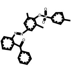 Cc1ccc(S(=O)(=O)Oc2c(C)cc(N=Nc3ccccc3C(=O)c3ccccc3)cc2C)cc1